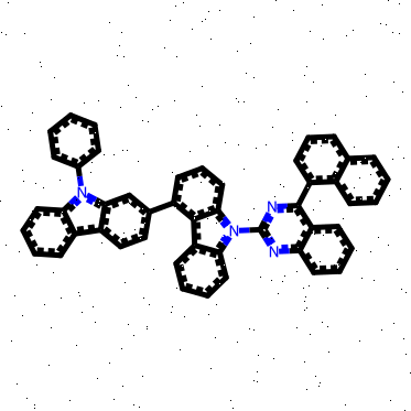 c1ccc(-n2c3ccccc3c3ccc(-c4cccc5c4c4ccccc4n5-c4nc(-c5cccc6ccccc56)c5ccccc5n4)cc32)cc1